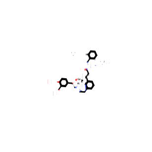 CCCC[Si](C)(C)O[C@@H](CN[C@H](C)Cc1cccc(CCC(=O)NCc2c(OC)cccc2OC)c1)c1ccc(O)c(CO)c1